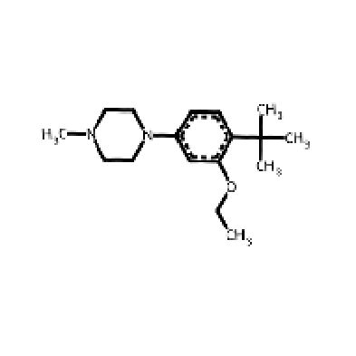 CCOc1cc(N2CCN(C)CC2)ccc1C(C)(C)C